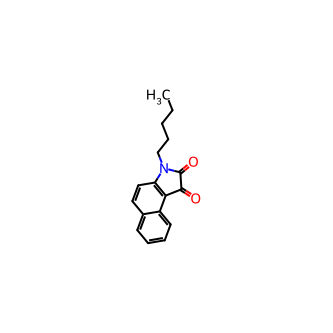 CCCCCN1C(=O)C(=O)c2c1ccc1ccccc21